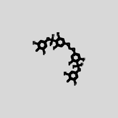 Cc1c(F)cc(OC(F)(F)c2c(F)cc(OCOc3cc(F)c(C(F)(F)Oc4cc(F)c(C)c(F)c4)c(F)c3)cc2F)cc1F